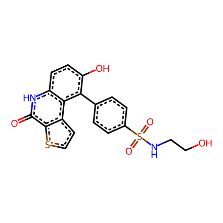 O=c1[nH]c2ccc(O)c(-c3ccc(S(=O)(=O)NCCO)cc3)c2c2ccsc12